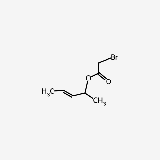 CC=CC(C)OC(=O)CBr